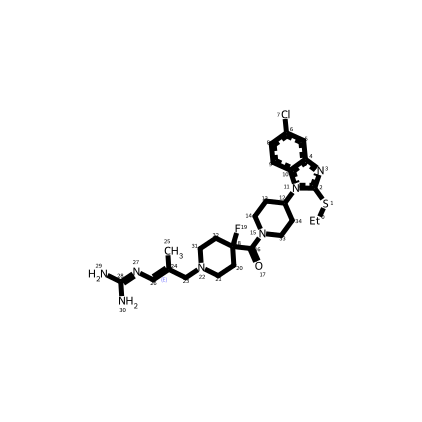 CCSc1nc2cc(Cl)ccc2n1C1CCN(C(=O)C2(F)CCN(C/C(C)=C/N=C(N)N)CC2)CC1